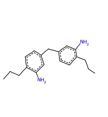 CCCc1ccc(Cc2ccc(CCC)c(N)c2)cc1N